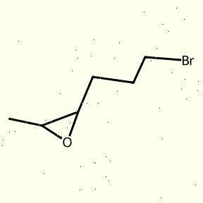 CC1OC1CCCBr